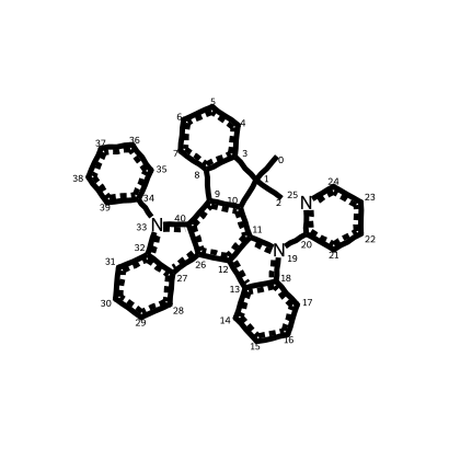 CC1(C)c2ccccc2-c2c1c1c(c3ccccc3n1-c1ccccn1)c1c3ccccc3n(-c3ccccc3)c21